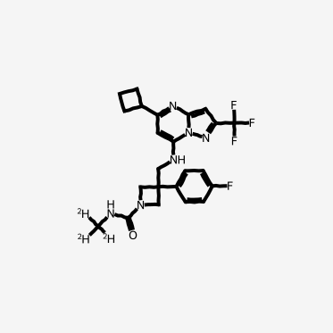 [2H]C([2H])([2H])NC(=O)N1CC(CNc2cc(C3CCC3)nc3cc(C(F)(F)F)nn23)(c2ccc(F)cc2)C1